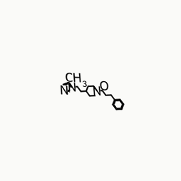 Cc1cncn1CCC1CCN(C(=O)CCc2ccccc2)CC1